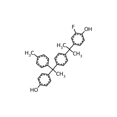 Cc1ccc(C(C)(c2ccc(O)cc2)c2ccc(C(C)(C)c3ccc(O)c(F)c3)cc2)cc1